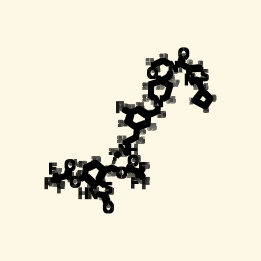 O=C(c1csc(C2CCC2)n1)N1CCOC2(CCN(Cc3cc(F)cc(CCNC[C@H](OC(=O)C(F)(F)F)c4ccc(OC(=O)C(F)(F)F)c5[nH]c(=O)sc45)c3)CC2)C1